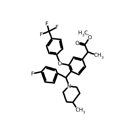 COC(=O)C(C)c1ccc(C(c2ccc(F)cc2)N2CCC(C)CC2)c(Oc2ccc(C(F)(F)F)cc2)c1